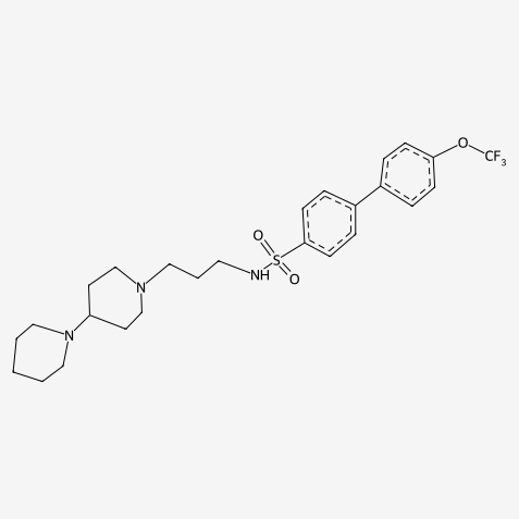 O=S(=O)(NCCCN1CCC(N2CCCCC2)CC1)c1ccc(-c2ccc(OC(F)(F)F)cc2)cc1